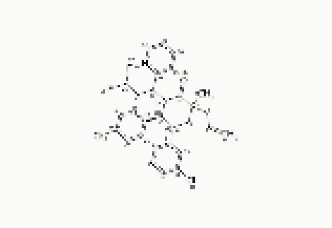 C=CCC1(C)C[C@H](c2cccc(Cl)c2)[C@@H](c2ccc(Cl)cc2)N(C(CC(F)F)c2ccccn2)C1=O